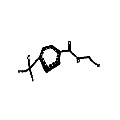 O=C(NCBr)c1ccc(C(F)(F)F)cc1